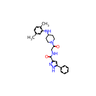 Cc1ccc(C)c(NC2CCN(C(=O)CNC(=O)c3cc(-c4ccccc4)[nH]n3)CC2)c1